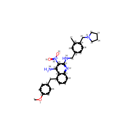 COc1ccc(Cc2cccc3nc(NCc4ccc(CN5CCCC5)c(C)c4)c([N+](=O)[O-])c(N)c23)cc1